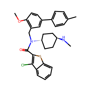 CN[C@H]1CC[C@H](N(Cc2cc(-c3ccc(C)cc3)ccc2OC)C(=O)c2sc3ccccc3c2Cl)CC1